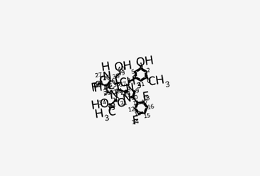 Cc1cc(O)cc(Cn2cc(-c3cc(F)ccc3F)nc2[C@H](N(C[C@@H]2CNC[C@@H]2F)C(=O)[C@H](C)O)C(C)(C)CCO)c1